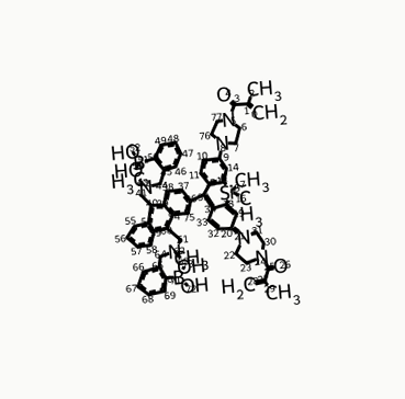 C=C(C)C(=O)N1CCN(c2ccc3c(c2)[Si](C)(C)C2=CC(=[N+]4CCN(C(=O)C(=C)C)CC4)C=CC2=C3c2ccc3c(CN(C)Cc4ccccc4B(O)O)c4ccccc4c(CN(C)Cc4ccccc4B(O)O)c3c2)CC1